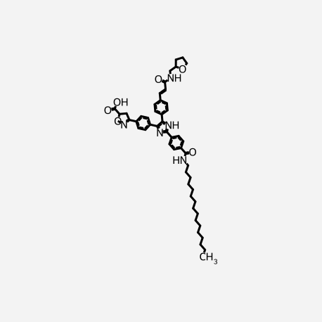 CCCCCCCCCCCCCCCCNC(=O)c1ccc(-c2nc(-c3ccc(C4=NOC(C(=O)O)C4)cc3)c(-c3ccc(/C=C/C(=O)NCC4CCCO4)cc3)[nH]2)cc1